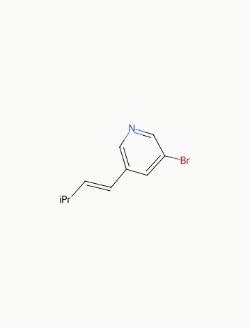 CC(C)C=Cc1cncc(Br)c1